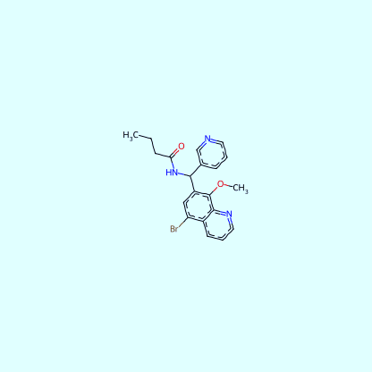 CCCC(=O)NC(c1cccnc1)c1cc(Br)c2cccnc2c1OC